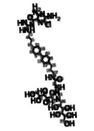 N=C(NCCCCc1ccc(-c2ccc(CCCNC(=O)CNCCN(CC(O)C(O)C(O)C(O)CO)CC(O)C(O)C(O)C(O)CO)cc2)cc1)NC(=O)c1nc(Cl)c(N)nc1N